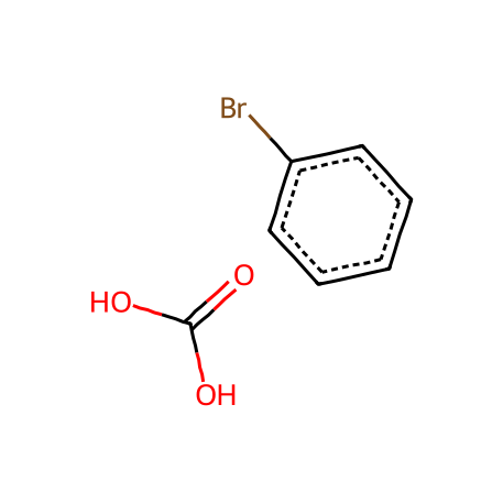 Brc1ccccc1.O=C(O)O